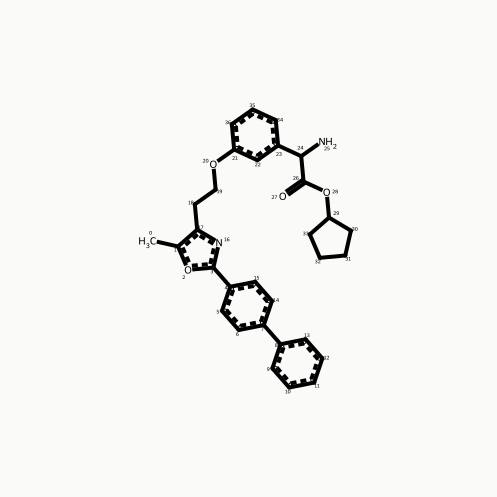 Cc1oc(-c2ccc(-c3ccccc3)cc2)nc1CCOc1[c]c(C(N)C(=O)OC2CCCC2)ccc1